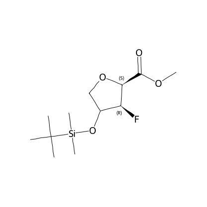 COC(=O)[C@@H]1OCC(O[Si](C)(C)C(C)(C)C)[C@@H]1F